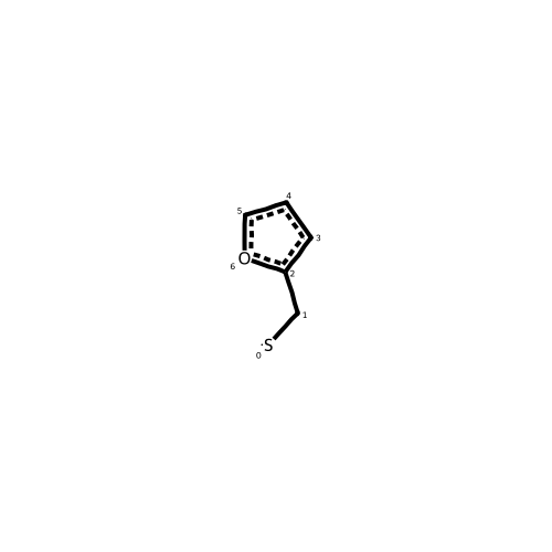 [S]Cc1ccco1